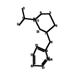 CC(C)N1CCCC(Cc2ccccn2)C1